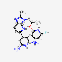 Cc1nc2ccc(-c3cc(N)nc(N)c3)nc2n1C[C@@H](C)Oc1cccc(F)n1